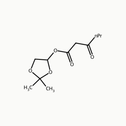 CCCC(=O)CC(=O)OC1COC(C)(C)O1